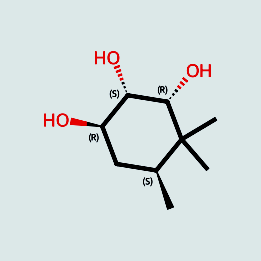 C[C@H]1C[C@@H](O)[C@H](O)[C@H](O)C1(C)C